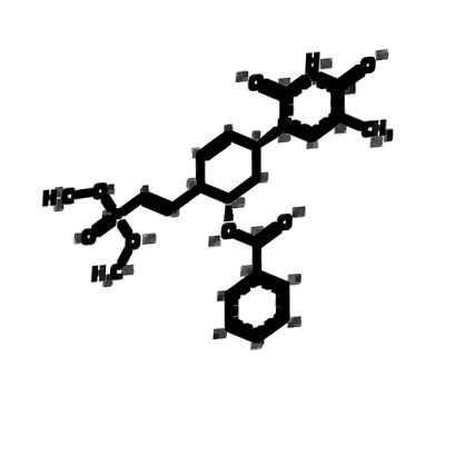 COP(=O)(/C=C/C1C=C[C@@H](n2cc(C)c(=O)[nH]c2=O)C[C@@H]1OC(=O)c1ccccc1)OC